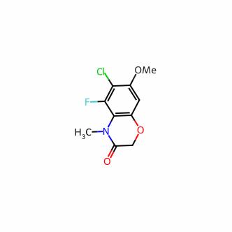 COc1cc2c(c(F)c1Cl)N(C)C(=O)CO2